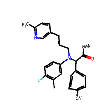 CNC(=O)[C@@H](c1ccc(C#N)cc1)N(CCCc1ccc(C(F)(F)F)nc1)c1ccc(F)c(C)c1